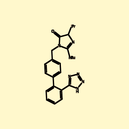 CCCCC1=NC(C(C)C)C(=O)N1Cc1ccc(-c2ccccc2-c2nnn[nH]2)cc1